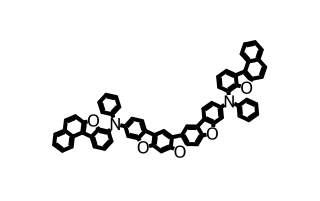 c1ccc(N(c2ccc3c(c2)oc2cc4oc5cc6oc7cc(N(c8ccccc8)c8cccc9c8oc8ccc%10ccccc%10c89)ccc7c6cc5c4cc23)c2cccc3c2oc2ccc4ccccc4c23)cc1